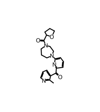 Cc1ncccc1C(=O)c1cccc(N2CCCN(C(=O)C3CCCO3)CC2)n1